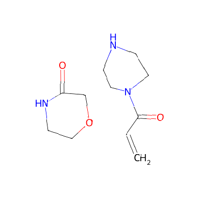 C=CC(=O)N1CCNCC1.O=C1COCCN1